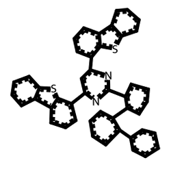 c1ccc(-c2ccccc2-c2ccccc2-c2nc(-c3cccc4c3sc3ccccc34)cc(-c3cccc4c3sc3ccccc34)n2)cc1